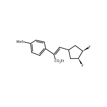 CCOC(=O)C(=CC1C[C@@H](F)[C@@H](F)C1)c1ccc(SC)cc1